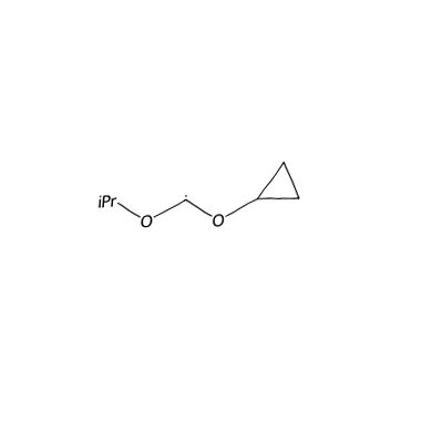 CC(C)O[CH]OC1CC1